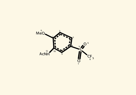 COc1ccc(S(=O)(=O)C(F)(F)F)cc1NC(C)=O